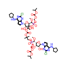 COC([C@@H]1O[C@@H](n2ccc3c(NC4CCCC4)nc(Cl)nc32)[C@H](O)[C@@H]1O)P(=O)(OCOC(=O)OC(C)C)OCC(C)(C)OC(=O)OC(C)(C)COP(=O)(OCOC(=O)OC(C)C)C(OC)[C@@H]1O[C@@H](n2ccc3c(NC4CCCC4)nc(Cl)nc32)[C@H](O)[C@@H]1O